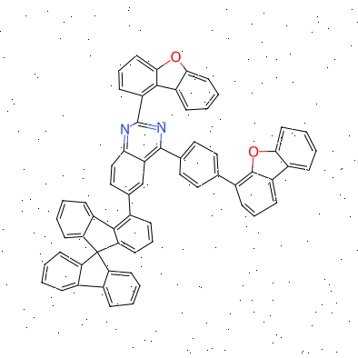 c1ccc2c(c1)-c1ccccc1C21c2ccccc2-c2c(-c3ccc4nc(-c5cccc6oc7ccccc7c56)nc(-c5ccc(-c6cccc7c6oc6ccccc67)cc5)c4c3)cccc21